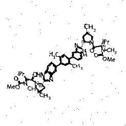 COC(=O)N(C)[C@H](C(=O)N1C[C@@H](C)C[C@H]1c1nc2cc(-c3cc(C)c(-c4ccc5[nH]c([C@@H]6C[C@H](C)CN6C(=O)[C@H](C(C)C)N(C)C(=O)OC)nc5c4)cc3C)ccc2[nH]1)C(C)C